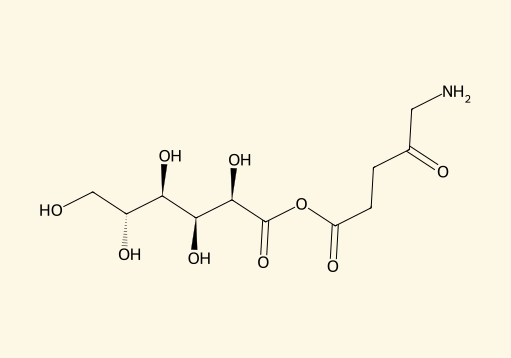 NCC(=O)CCC(=O)OC(=O)[C@H](O)[C@@H](O)[C@H](O)[C@H](O)CO